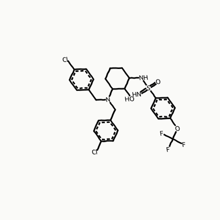 N=S(=O)(NC1CCCC(N(Cc2ccc(Cl)cc2)Cc2ccc(Cl)cc2)C1O)c1ccc(OC(F)(F)F)cc1